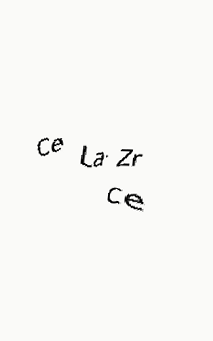 [Ce].[Ce].[La].[Zr]